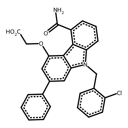 NC(=O)c1cccc2c1c1c(OCC(=O)O)cc(-c3ccccc3)cc1n2Cc1ccccc1Cl